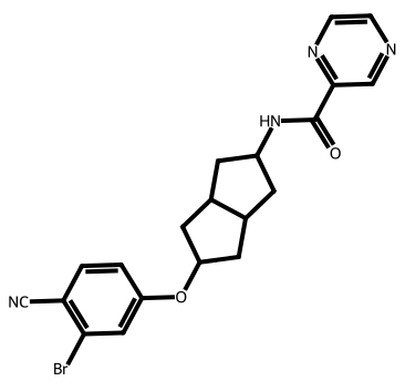 N#Cc1ccc(OC2CC3CC(NC(=O)c4cnccn4)CC3C2)cc1Br